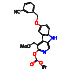 COCc1c(OC(=O)OC(C)C)ncc2[nH]c3ccc(OCc4cccc(C#N)c4)cc3c12